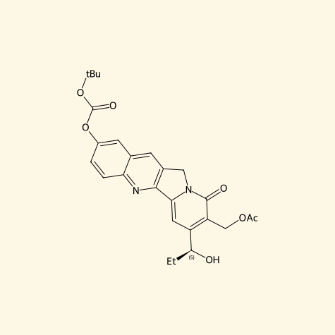 CC[C@H](O)c1cc2n(c(=O)c1COC(C)=O)Cc1cc3cc(OC(=O)OC(C)(C)C)ccc3nc1-2